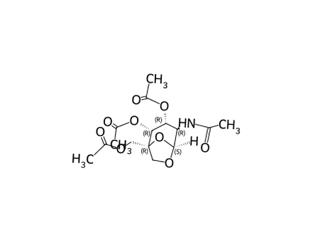 CC(=O)N[C@H]1[C@H]2OC[C@](COC(C)=O)(O2)[C@H](OC(C)=O)[C@@H]1OC(C)=O